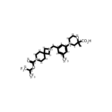 CC1(C(=O)O)CN(c2cc(CN3CC4(CCN(C(=O)OC(C(F)(F)F)C(F)(F)F)CC4)C3)cc(C(F)(F)F)c2)CCO1